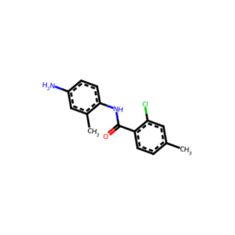 Cc1ccc(C(=O)Nc2ccc(N)cc2C)c(Cl)c1